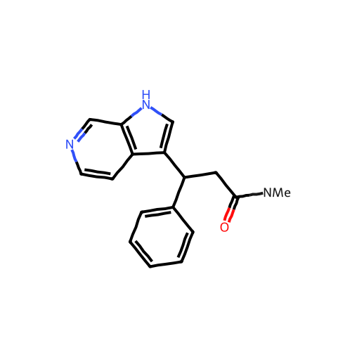 CNC(=O)CC(c1ccccc1)c1c[nH]c2cnccc12